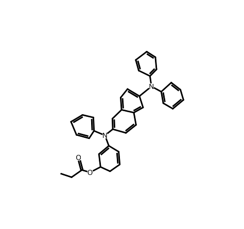 CCC(=O)OC1C=C(N(c2ccccc2)c2ccc3cc(N(c4ccccc4)c4ccccc4)ccc3c2)C=CC1